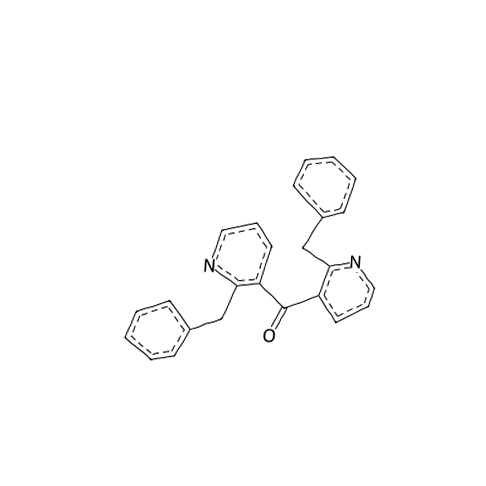 O=C(c1cccnc1Cc1ccccc1)c1cccnc1Cc1ccccc1